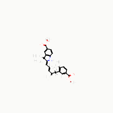 C=C(/C=C/C=C1\N(C)c2ccc(C(=O)OC)cc2C1(C)C)C(C)(C)c1cc(C(=O)OC)ccc1C